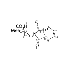 CSC1(C(=O)O)CC1N1C(=O)c2ccccc2C1=O